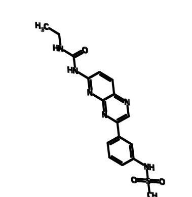 CCNC(=O)Nc1ccc2ncc(-c3cccc(NS(C)(=O)=O)c3)nc2n1